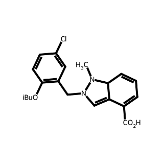 CC(C)COc1ccc(Cl)cc1CN1C=C2C(C(=O)O)=CC=CC2N1C